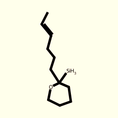 CC=CCCCC1([SiH3])CCCCO1